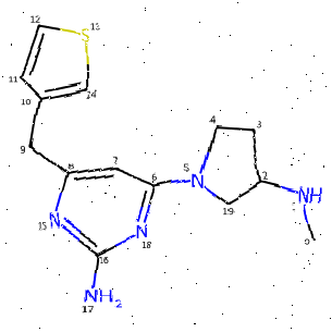 CNC1CCN(c2cc(Cc3ccsc3)nc(N)n2)C1